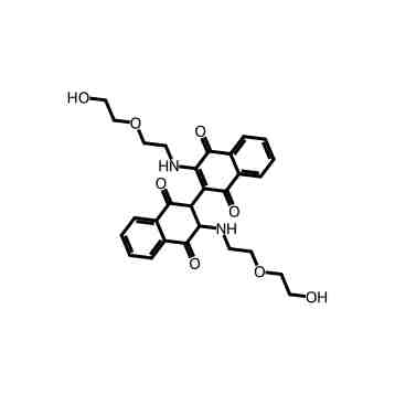 O=C1C(NCCOCCO)=C(C2C(=O)c3ccccc3C(=O)C2NCCOCCO)C(=O)c2ccccc21